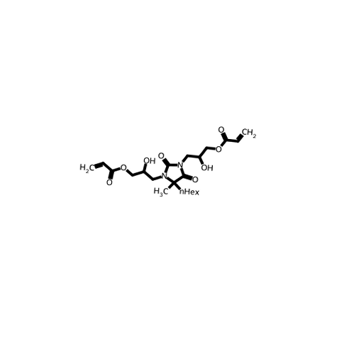 C=CC(=O)OCC(O)CN1C(=O)N(CC(O)COC(=O)C=C)C(C)(CCCCCC)C1=O